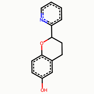 Oc1ccc2c(c1)CCC(c1ccccn1)O2